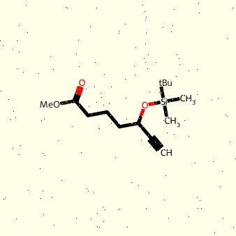 C#CC(CCCC(=O)OC)O[Si](C)(C)C(C)(C)C